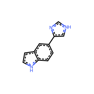 c1nc(-c2ccc3[nH]ccc3c2)c[nH]1